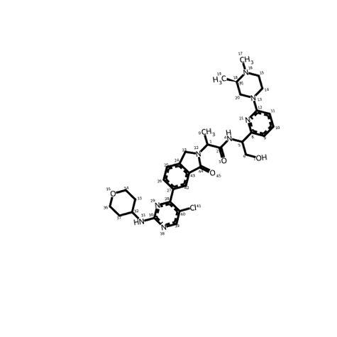 CC(C(=O)NC(CO)c1cccc(N2CCN(C)[C@H](C)C2)n1)N1Cc2ccc(-c3nc(NC4CCOCC4)ncc3Cl)cc2C1=O